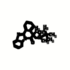 CC1(C[Si](C)(C)C(C)(C)C)C(=O)n2c(nc3ccccc32)-c2ccccc21